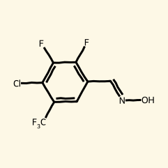 ON=Cc1cc(C(F)(F)F)c(Cl)c(F)c1F